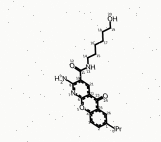 CC(C)c1ccc2oc3nc(N)c(C(=O)NCCCCCCO)cc3c(=O)c2c1